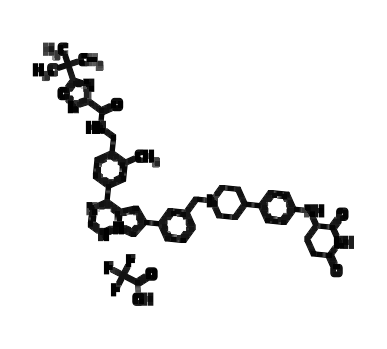 Cc1cc(-c2ncnn3cc(-c4cccc(CN5CCC(c6ccc(NC7CCC(=O)NC7=O)cc6)CC5)c4)cc23)ccc1CNC(=O)c1noc(C(C)(C)C)n1.O=C(O)C(F)(F)F